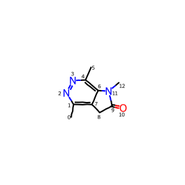 Cc1nnc(C)c2c1CC(=O)N2C